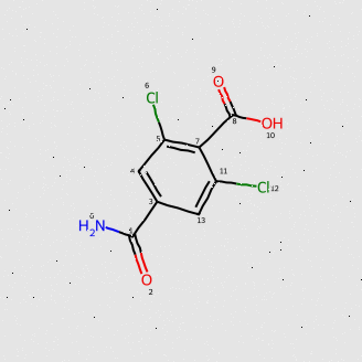 NC(=O)c1cc(Cl)c(C(=O)O)c(Cl)c1